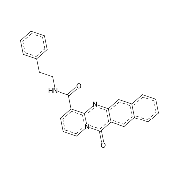 O=C(NCCc1ccccc1)c1cccn2c(=O)c3cc4ccccc4cc3nc12